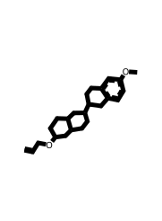 C=CCOC1CCC2CC(C3CCc4cc(OC)ccc4C3)CCC2C1